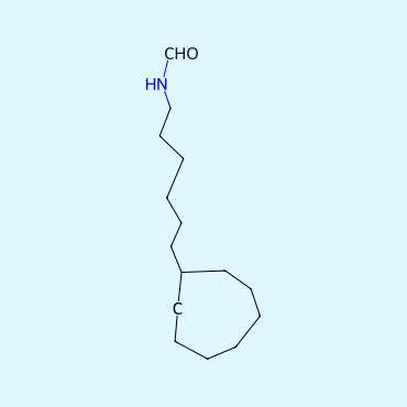 O=CNCCCCCCC1CCCCCCC1